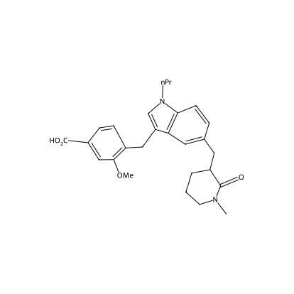 CCCn1cc(Cc2ccc(C(=O)O)cc2OC)c2cc(CC3CCCN(C)C3=O)ccc21